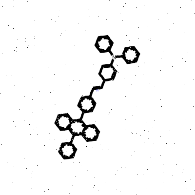 C1=CC(/C=C/c2ccc(-c3c4ccccc4c(-c4ccccc4)c4ccccc34)cc2)CC=C1N(c1ccccc1)c1ccccc1